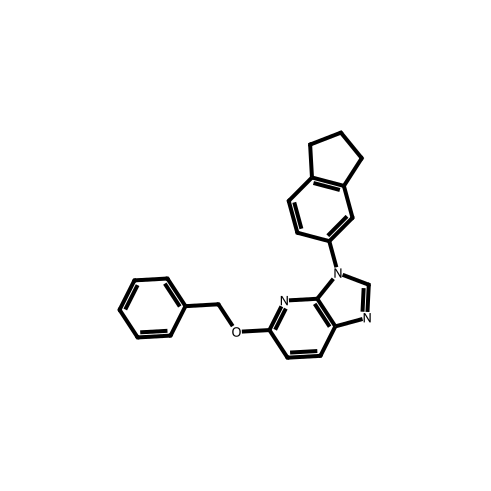 c1ccc(COc2ccc3ncn(-c4ccc5c(c4)CCC5)c3n2)cc1